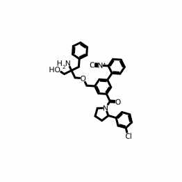 [C-]#[N+]c1ccccc1-c1cc(COCC(N)(CO)Cc2ccccc2)cc(C(=O)N2CCCC2c2cccc(Cl)c2)c1